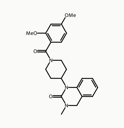 COc1ccc(C(=O)N2CCC(N3C(=O)N(C)Cc4ccccc43)CC2)c(OC)c1